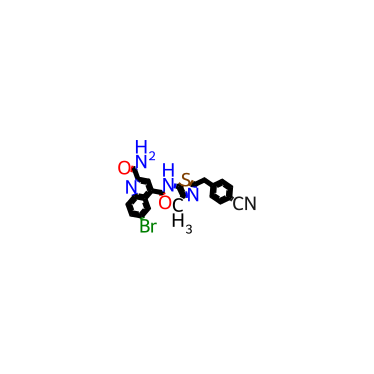 Cc1nc(Cc2ccc(C#N)cc2)sc1NC(=O)c1cc(C(N)=O)nc2ccc(Br)cc12